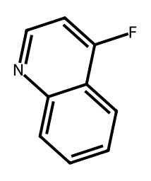 Fc1ccnc2ccccc12